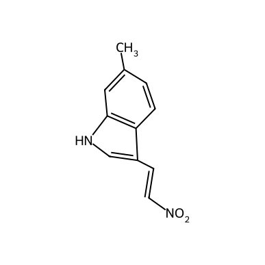 Cc1ccc2c(/C=C/[N+](=O)[O-])c[nH]c2c1